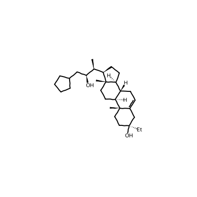 CC[C@]1(O)CC[C@@]2(C)C(=CC[C@H]3[C@@H]4CC[C@H]([C@H](C)[C@@H](O)CC5CCCC5)[C@@]4(C)CC[C@@H]32)C1